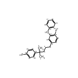 CC(C)(CCCc1ccc(F)c(Oc2ccccc2)c1)c1ccc(F)cc1